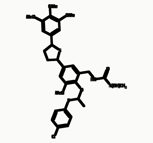 COc1cc(C2CCC(c3cc(OC)c(OC)c(OC)c3)S2)cc(CNC(=O)N(C)O)c1OC(C)Sc1ccc(Cl)cc1